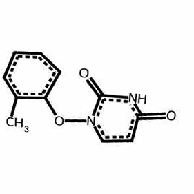 Cc1ccccc1On1ccc(=O)[nH]c1=O